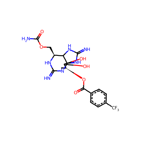 N=C1NC2[C@H](COC(N)=O)NC(=N)N3C[C@H](OC(=O)c4ccc(C(F)(F)F)cc4)C(O)(O)[C@]23N1